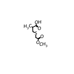 COC(=O)CSCC(C)C(=O)O